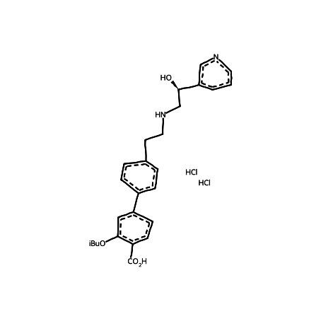 CC(C)COc1cc(-c2ccc(CCNC[C@@H](O)c3cccnc3)cc2)ccc1C(=O)O.Cl.Cl